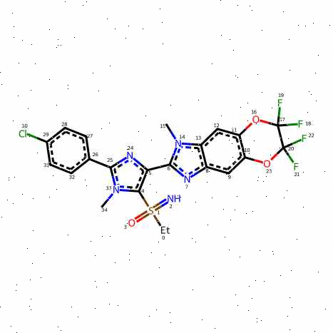 CCS(=N)(=O)c1c(-c2nc3cc4c(cc3n2C)OC(F)(F)C(F)(F)O4)nc(-c2ccc(Cl)cc2)n1C